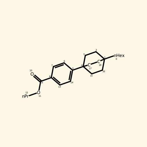 CCCCCCC12CCC(c3ccc(C(=O)OCCC)cc3)(CC1)CC2